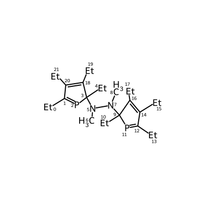 CCC1=PC(CC)(N(C)N(C)C2(CC)P=C(CC)C(CC)=C2CC)C(CC)=C1CC